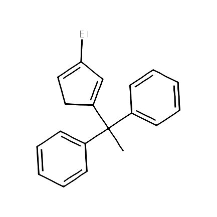 CCC1=CCC(C(C)(c2ccccc2)c2ccccc2)=C1